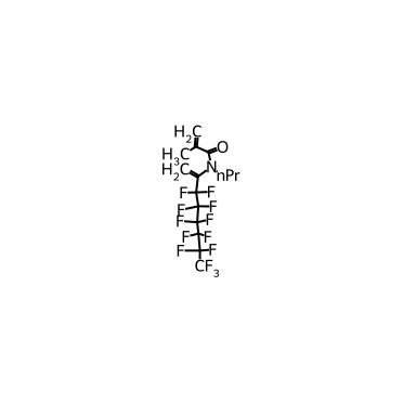 C=C(C)C(=O)N(CCC)C(=C)C(F)(F)C(F)(F)C(F)(F)C(F)(F)C(F)(F)C(F)(F)F